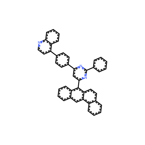 c1ccc(-c2nc(-c3ccc(-c4ccnc5ccccc45)cc3)cc(-c3c4ccccc4cc4c3ccc3ccccc34)n2)cc1